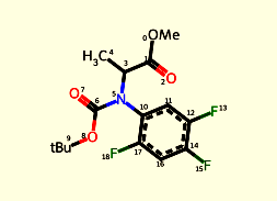 COC(=O)C(C)N(C(=O)OC(C)(C)C)c1cc(F)c(F)cc1F